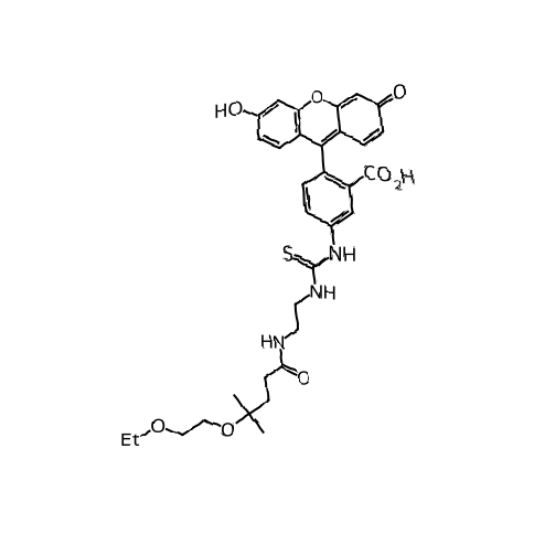 CCOCCOC(C)(C)CCC(=O)NCCNC(=S)Nc1ccc(-c2c3ccc(=O)cc-3oc3cc(O)ccc23)c(C(=O)O)c1